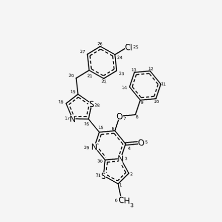 Cc1cn2c(=O)c(OCc3ccccc3)c(-c3ncc(Cc4ccc(Cl)cc4)s3)nc2s1